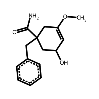 COC1=CC(O)CC(Cc2ccccc2)(C(N)=O)C1